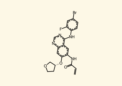 C=CC(=O)Nc1cc2c(Nc3ccc(Br)cc3F)ncnc2cc1O[C@@H]1CCOC1